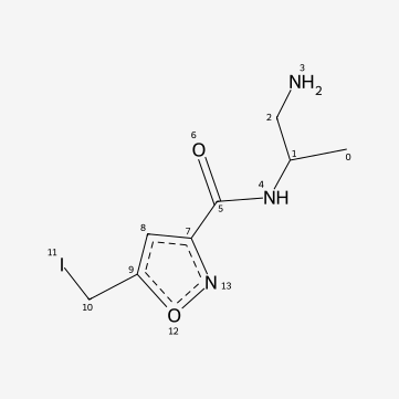 CC(CN)NC(=O)c1cc(CI)on1